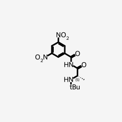 C[C@H](NC(C)(C)C)C(=O)NC(=O)c1cc([N+](=O)[O-])cc([N+](=O)[O-])c1